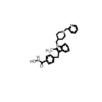 Cc1c(Cc2ccc(C(=O)NO)cc2)c2ccccc2n1CC1CCN(Cc2ccccn2)CC1